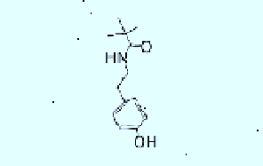 CC(C)(C)C(=O)NCCc1ccc(O)cc1